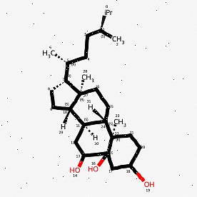 CC(C)[C@@H](C)CC[C@@H](C)[C@H]1CC[C@H]2[C@@H]3CC(O)C4(O)CC(O)CC[C@]4(C)[C@H]3CC[C@]12C